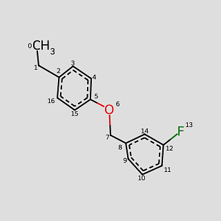 CCc1ccc(OCc2cccc(F)c2)cc1